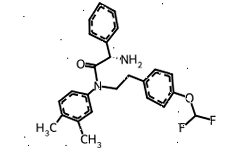 Cc1ccc(N(CCc2ccc(OC(F)F)cc2)C(=O)[C@@H](N)c2ccccc2)cc1C